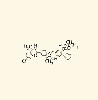 Cc1c(C)n(Cc2ccc(-c3ccccc3C(=O)OC(C)(C)C)cc2)c2ccc(C(=O)N[C@@H](C)c3ccc(Cl)cc3)cc12